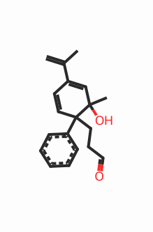 C=C(C)C1=CC(C)(O)C(CCC=O)(c2ccccc2)C=C1